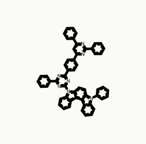 c1ccc(-c2cc(-c3ccc(-c4nc(-c5ccccc5)nc(-n5c6ccccc6c6c7c8ccccc8n(-c8ccccc8)c7ccc65)n4)cc3)nc(-c3ccccc3)n2)cc1